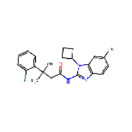 CC(C)(CC(=O)Nc1nc2ccc(C#N)cc2n1C1CCC1)c1ccccc1F